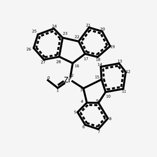 C[CH]=[Zr]([CH]1c2ccccc2-c2ccccc21)[CH]1c2ccccc2-c2ccccc21